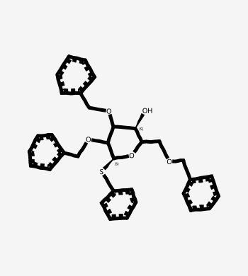 O[C@H]1C(COCc2ccccc2)O[C@@H](Sc2ccccc2)C(OCc2ccccc2)C1OCc1ccccc1